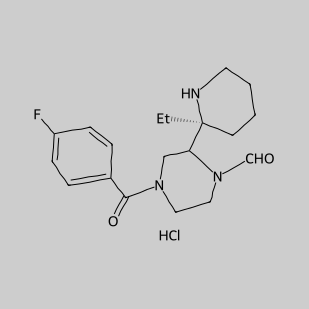 CC[C@@]1(C2CN(C(=O)c3ccc(F)cc3)CCN2C=O)CCCCN1.Cl